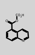 O=C(O)OC(=O)c1cccc2ncccc12